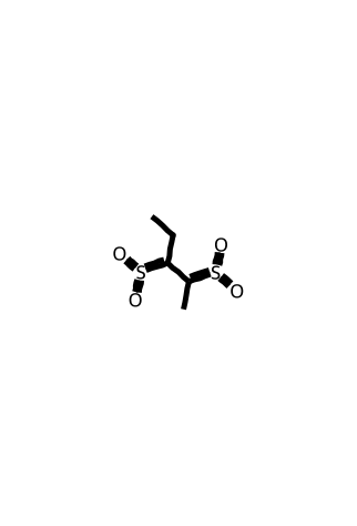 CCC(C(C)=S(=O)=O)=S(=O)=O